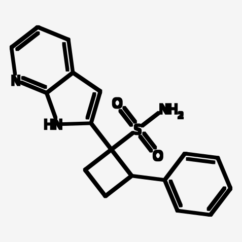 NS(=O)(=O)C1(c2cc3cccnc3[nH]2)CCC1c1ccccc1